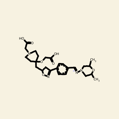 CC1CN(/N=C/c2ccc(C3=NOC(CC4(OCC(=O)O)CCN(CC(=O)O)CC4)C3)cc2)CC(C)O1